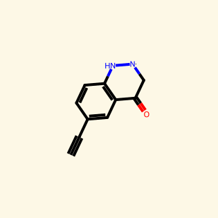 C#Cc1ccc2c(c1)C(=O)C[N]N2